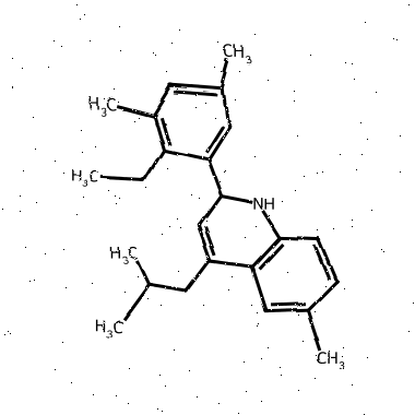 CCc1c(C)cc(C)cc1C1C=C(CC(C)C)c2cc(C)ccc2N1